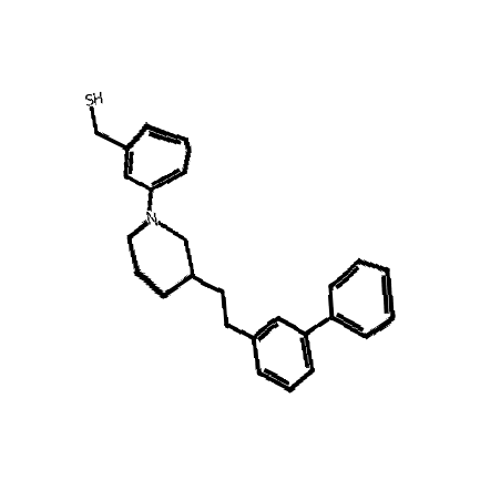 SCc1cccc(N2CCCC(CCc3cccc(-c4ccccc4)c3)C2)c1